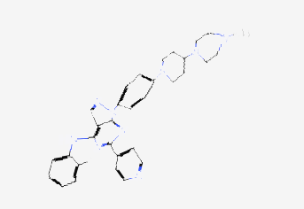 Cc1ccccc1Nc1nc(-c2ccncc2)nc2c1cnn2-c1ccc(N2CCC(N3CCN(C)CC3)CC2)cc1